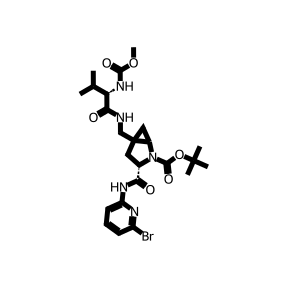 COC(=O)N[C@H](C(=O)NCC12CC1N(C(=O)OC(C)(C)C)[C@H](C(=O)Nc1cccc(Br)n1)C2)C(C)C